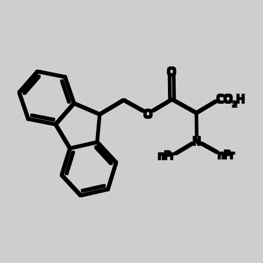 CCCN(CCC)C(C(=O)O)C(=O)OCC1c2ccccc2-c2ccccc21